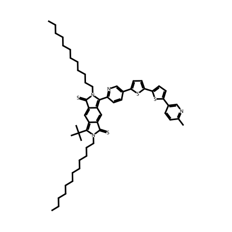 CCCCCCCCCCCCN1C(=S)c2cc3c(cc2=C1c1ccc(-c2ccc(-c4ccc(-c5ccc(C)nc5)s4)s2)cn1)C(=S)N(CCCCCCCCCCCC)C=3C(C)(C)C